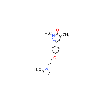 Cc1cc(-c2ccc(OCCCN3CCCC3C)cc2)nn(C)c1=O